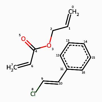 C=CCOC(=O)C=C.ClC=Cc1ccccc1